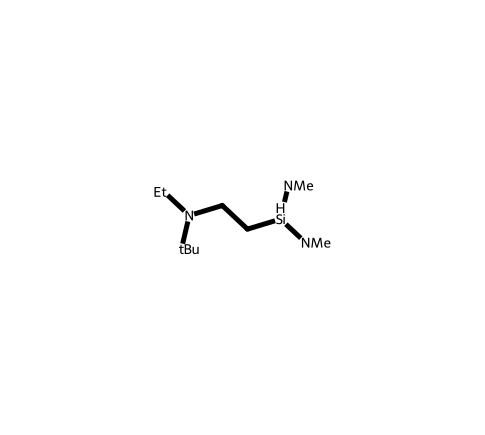 CCN(CC[SiH](NC)NC)C(C)(C)C